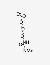 CCC(=O)CCOCCOCCOCCNC(=O)CCNC